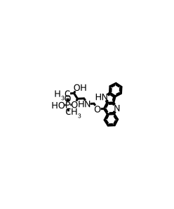 CC(O)C(CNCOc1c2ccccc2nc2c1[nH]c1ccccc12)OP(C)(=O)O